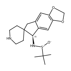 CC(C)(C)[S+]([O-])N[C@@H]1c2cc3c(cc2CC12CCNCC2)OCO3